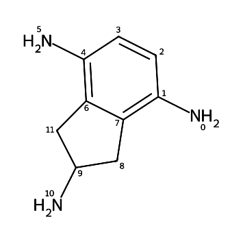 Nc1ccc(N)c2c1CC(N)C2